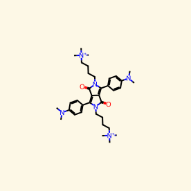 CN(C)c1ccc(C2=C3C(=O)N(CCCC[N+](C)(C)C)C(c4ccc(N(C)C)cc4)=C3C(=O)N2CCCC[N+](C)(C)C)cc1